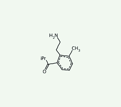 Cc1cccc(C(=O)C(C)C)c1CCN